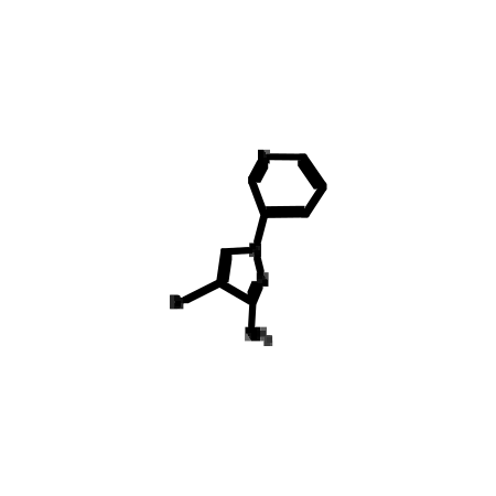 Nc1nn(-c2cccnc2)cc1Br